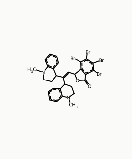 CN1CCC(C(=CC2OC(=O)c3c(Br)c(Br)c(Br)c(Br)c32)C2CCN(C)c3ccccc32)c2ccccc21